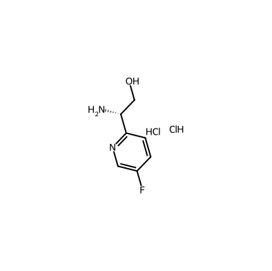 Cl.Cl.N[C@H](CO)c1ccc(F)cn1